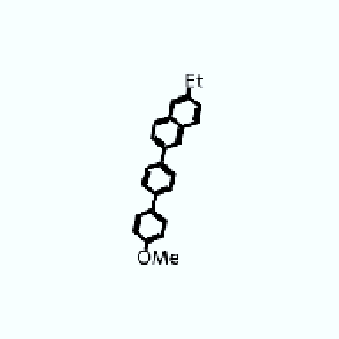 CCc1ccc2cc(-c3ccc(-c4ccc(OC)cc4)cc3)ccc2c1